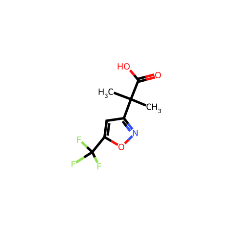 CC(C)(C(=O)O)c1cc(C(F)(F)F)on1